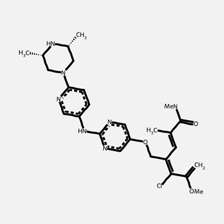 C=C(OC)/C(Cl)=C(\C=C(/C)C(=O)NC)COc1cnc(Nc2ccc(N3C[C@@H](C)N[C@@H](C)C3)nc2)nc1